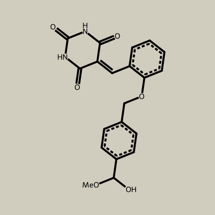 COC(O)c1ccc(COc2ccccc2C=C2C(=O)NC(=O)NC2=O)cc1